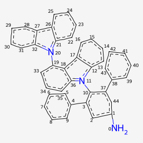 Nc1cc(-c2ccccc2)c(-n2c3ccccc3c3c(-n4c5ccccc5c5ccccc54)cccc32)c(-c2ccccc2)c1